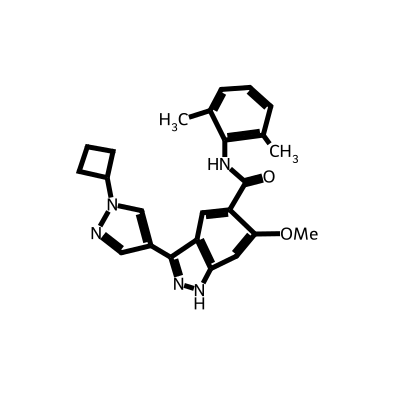 COc1cc2[nH]nc(-c3cnn(C4CCC4)c3)c2cc1C(=O)Nc1c(C)cccc1C